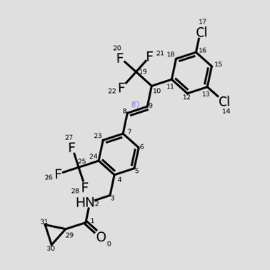 O=C(NCc1ccc(/C=C/C(c2cc(Cl)cc(Cl)c2)C(F)(F)F)cc1C(F)(F)F)C1CC1